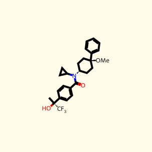 CO[C@]1(c2ccccc2)CC[C@@H](N(C(=O)c2ccc([C@](C)(O)C(F)(F)F)cc2)C2CC2)CC1